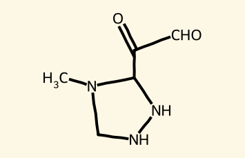 CN1CNNC1C(=O)C=O